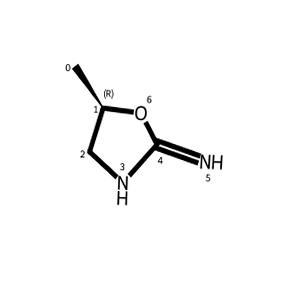 C[C@@H]1CNC(=N)O1